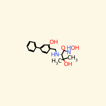 CC(C)(O)[C@H](NCc1ccc(-c2ccccc2)cc1O)C(=O)NO